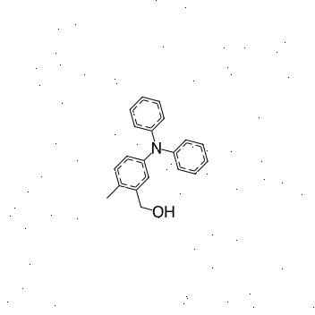 Cc1ccc(N(c2ccccc2)c2ccccc2)cc1CO